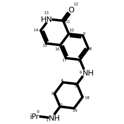 CC(C)NC1CCC(Nc2ccc3c(=O)[nH]ccc3c2)CC1